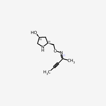 CC#C/C(C)=N\OC[C@@H]1C[C@H](O)CN1